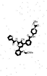 COCOc1ccccc1-c1cc(-c2cccc(C(=O)NC3CCN(C(=O)OC(C)(C)C)CC3)c2)c(C#N)c(NC(=O)c2cccs2)n1